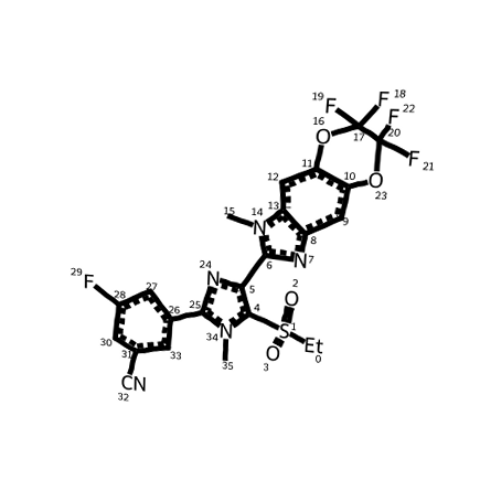 CCS(=O)(=O)c1c(-c2nc3cc4c(cc3n2C)OC(F)(F)C(F)(F)O4)nc(-c2cc(F)cc(C#N)c2)n1C